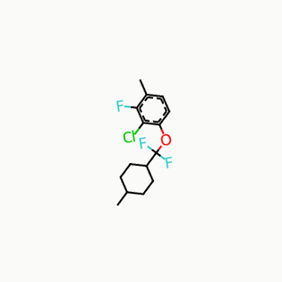 Cc1ccc(OC(F)(F)C2CCC(C)CC2)c(Cl)c1F